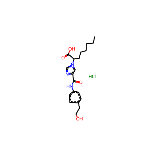 CCCCCCC(C(=O)O)n1cnc(C(=O)Nc2ccc(CCO)cc2)c1.Cl